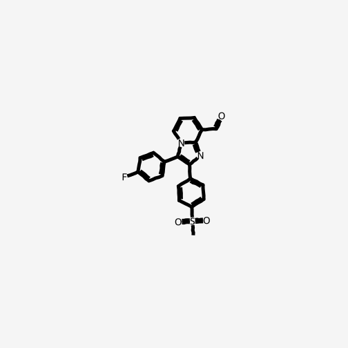 CS(=O)(=O)c1ccc(-c2nc3c(C=O)cccn3c2-c2ccc(F)cc2)cc1